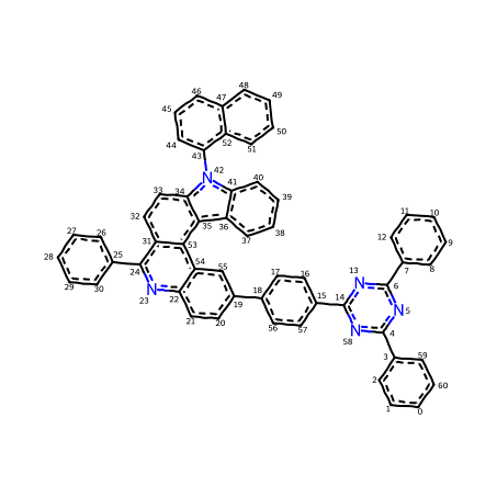 c1ccc(-c2nc(-c3ccccc3)nc(-c3ccc(-c4ccc5nc(-c6ccccc6)c6ccc7c(c8ccccc8n7-c7cccc8ccccc78)c6c5c4)cc3)n2)cc1